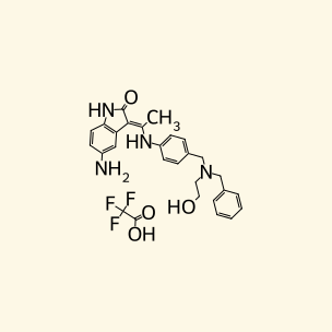 CC(Nc1ccc(CN(CCO)Cc2ccccc2)cc1)=C1C(=O)Nc2ccc(N)cc21.O=C(O)C(F)(F)F